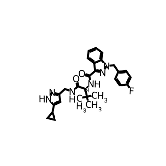 CC(C)(C)[C@H](NC(=O)c1nn(Cc2ccc(F)cc2)c2ccccc12)C(=O)NCc1cc(C2CC2)[nH]n1